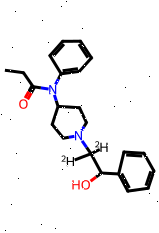 [2H]C([2H])(C(O)c1ccccc1)N1CCC(N(C(=O)CC)c2ccccc2)CC1